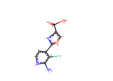 Nc1nccc(-c2nc(C(=O)O)co2)c1F